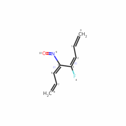 C=C/C=C(F)\C(=C/C=C)N=O